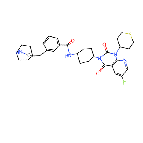 O=C(NC1CCC(n2c(=O)c3cc(F)cnc3n(C3CCSCC3)c2=O)CC1)c1cccc(CC23CCC(CC2)NC3)c1